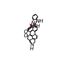 O=C1C=CC2C(C1)NC13Nc4ccccc4[N+]21CC1C=CC2=C4C(=CC=C3C41)C1C=CC3=C4C(=CNC3)CC(=O)C2=C41